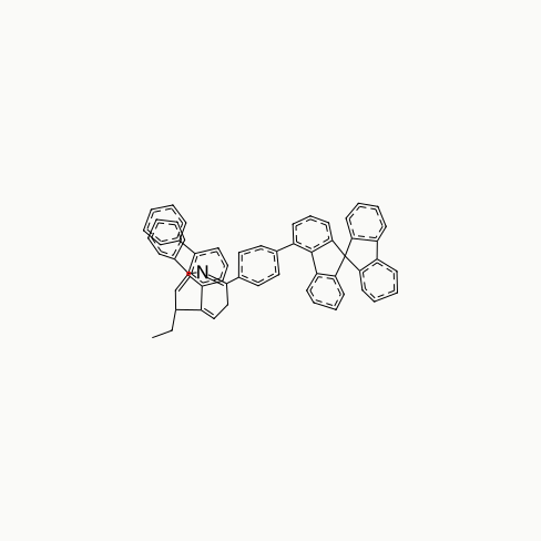 CCC1/C=C(c2ccccc2)\N=C(\c2ccc(-c3cccc4c3-c3ccccc3C43c4ccccc4-c4ccccc43)cc2)C/C=C/1c1cccc(-c2ccccc2)c1